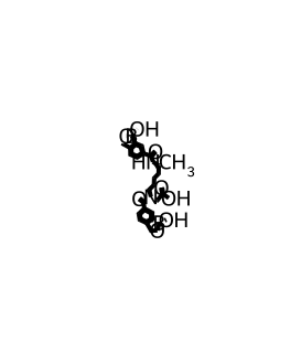 CC(CCCCN(CC(=O)O)C(=O)c1ccc2c(c1)B(O)OC2)NC(=O)c1ccc2c(c1)B(O)OC2